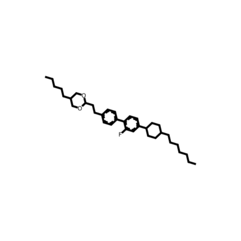 CCCCCCCC1CCC(c2ccc(-c3ccc(CCC4OCC(CCCCC)CO4)cc3)c(F)c2)CC1